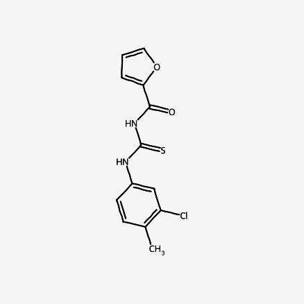 Cc1ccc(NC(=S)NC(=O)c2ccco2)cc1Cl